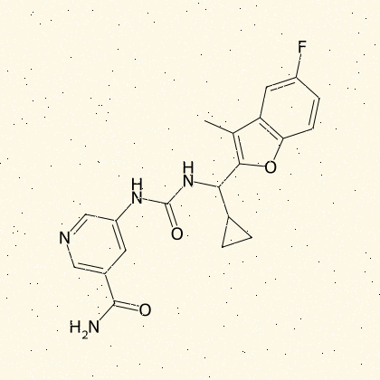 Cc1c(C(NC(=O)Nc2cncc(C(N)=O)c2)C2CC2)oc2ccc(F)cc12